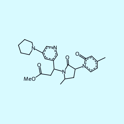 COC(=O)CC(c1cncc(N2CCCCC2)c1)N1C(=O)C(n2ccc(C)cc2=O)CC1C